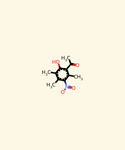 CC(=O)c1c(C)c([N+](=O)[O-])c(C)c(C)c1O